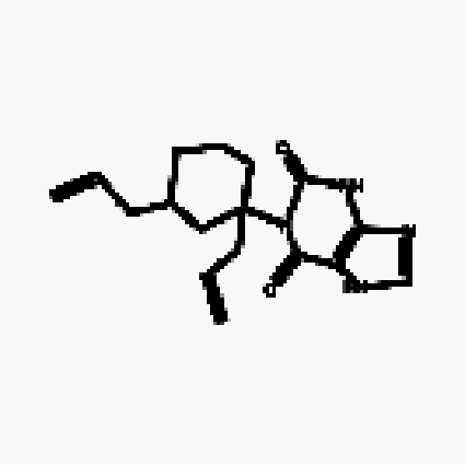 C=CCC1CCCC(CC=C)(n2c(=O)[nH]c3nc[nH]c3c2=O)C1